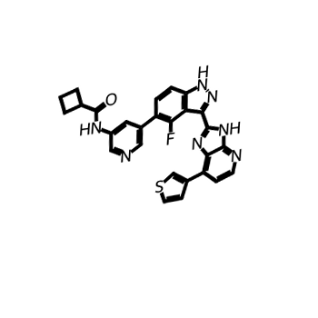 O=C(Nc1cncc(-c2ccc3[nH]nc(-c4nc5c(-c6ccsc6)ccnc5[nH]4)c3c2F)c1)C1CCC1